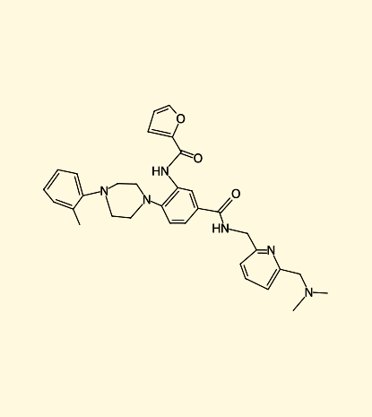 Cc1ccccc1N1CCN(c2ccc(C(=O)NCc3cccc(CN(C)C)n3)cc2NC(=O)c2ccco2)CC1